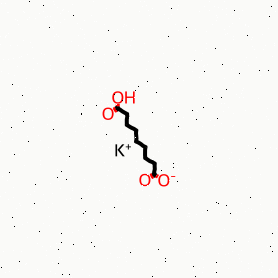 O=C([O-])CCCCCCCC(=O)O.[K+]